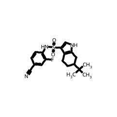 CC(C)(C)C1CCc2c(S(=O)(=O)Nc3ccc(C#N)cc3F)c[nH]c2C1